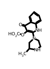 CC1CN(c2[nH]c3ccccc3c(=O)c2OC(=O)O)CCN1